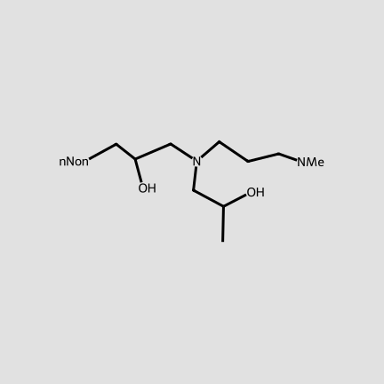 CCCCCCCCCCC(O)CN(CCCNC)CC(C)O